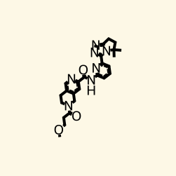 COCCC(=O)N1CCc2cnc(C(=O)Nc3cccc(-c4nnc5n4C(C)(C)CC5)n3)cc2C1